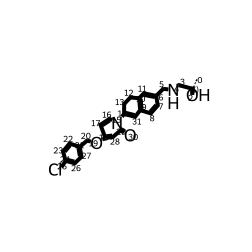 C[C@H](O)CNCc1ccc2c(c1)CCC(n1ccc(OCc3ccc(Cl)cc3)cc1=O)=C2